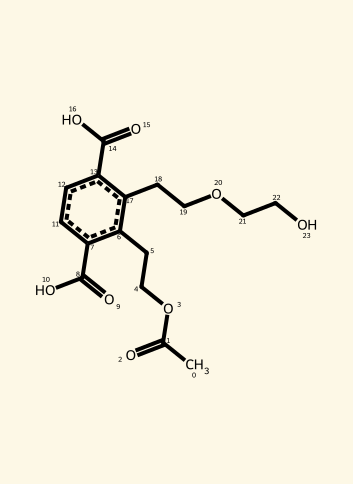 CC(=O)OCCc1c(C(=O)O)ccc(C(=O)O)c1CCOCCO